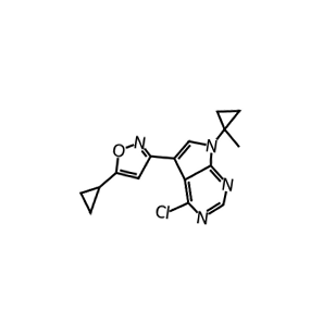 CC1(n2cc(-c3cc(C4CC4)on3)c3c(Cl)ncnc32)CC1